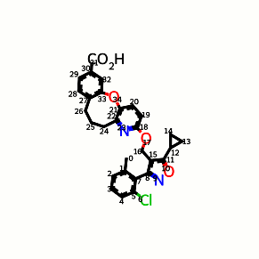 Cc1cccc(Cl)c1-c1noc(C2CC2)c1COc1ccc2c(n1)CCCc1ccc(C(=O)O)cc1O2